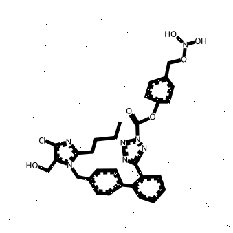 CCCCc1nc(Cl)c(CO)n1Cc1ccc(-c2ccccc2-c2nnn(C(=O)Oc3ccc(CON(O)O)cc3)n2)cc1